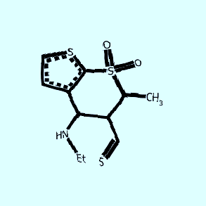 CCNC1c2ccsc2S(=O)(=O)C(C)C1C=S